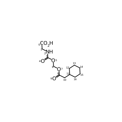 O=C(O)CNC(=O)OCOC(=O)CC1CCCCC1